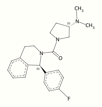 CN(C)[C@H]1CCN(C(=O)N2CCc3ccccc3[C@@H]2c2ccc(F)cc2)C1